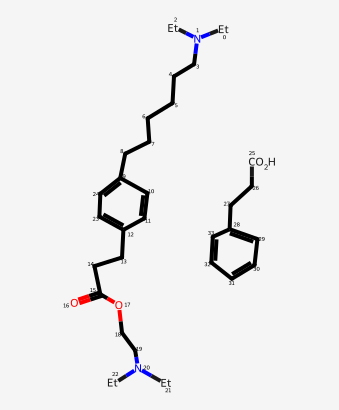 CCN(CC)CCCCCCc1ccc(CCC(=O)OCCN(CC)CC)cc1.O=C(O)CCc1ccccc1